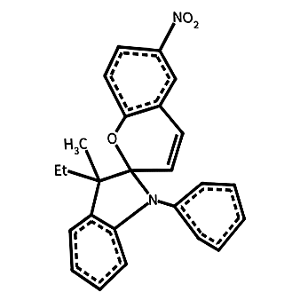 CCC1(C)c2ccccc2N(c2ccccc2)C12C=Cc1cc([N+](=O)[O-])ccc1O2